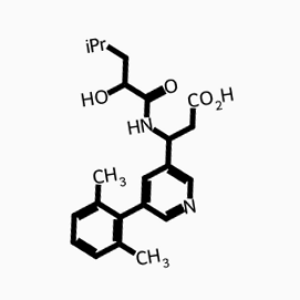 Cc1cccc(C)c1-c1cncc(C(CC(=O)O)NC(=O)C(O)CC(C)C)c1